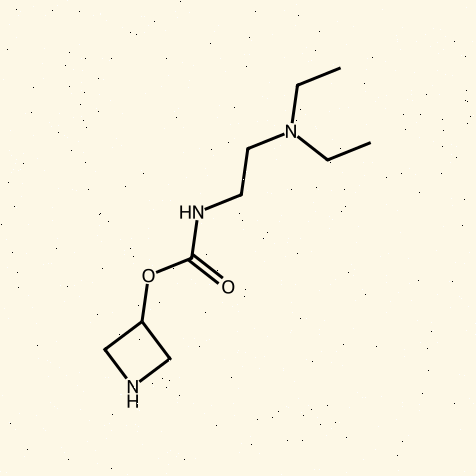 CCN(CC)CCNC(=O)OC1CNC1